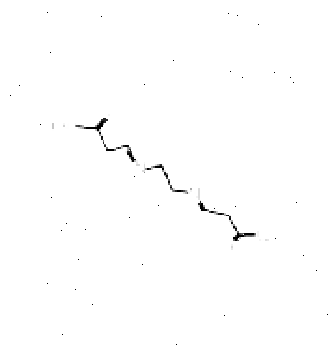 CC(C)(C)C(=O)CC=NCCN=CCC(=O)C(C)(C)C